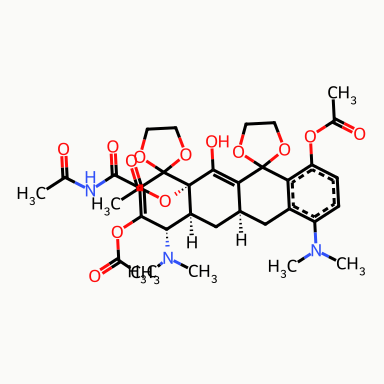 CC(=O)NC(=O)C1=C(OC(C)=O)[C@@H](N(C)C)[C@@H]2C[C@@H]3Cc4c(N(C)C)ccc(OC(C)=O)c4C4(OCCO4)C3=C(O)[C@]2(OC(C)=O)C12OCCO2